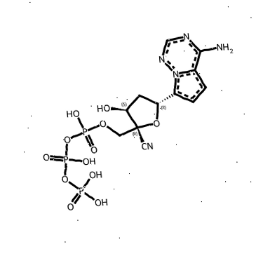 N#C[C@]1(COP(=O)(O)OP(=O)(O)OP(=O)(O)O)O[C@@H](c2ccc3c(N)ncnn23)C[C@@H]1O